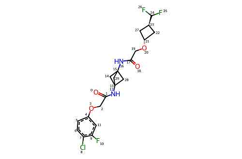 O=C(COc1ccc(Cl)c(F)c1)NC12CC(NC(=O)CO[C@H]3C[C@H](C(F)F)C3)(C1)C2